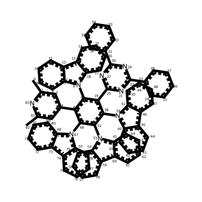 Cc1cc(-c2c(-n3c4ccccc4c4ccccc43)c(-c3nc(-c4ccccc4)nc(-c4ccccc4)n3)c(-n3c4ccccc4c4ccccc43)c(-n3c4ccccc4c4ccccc43)c2-n2c3ccccc3c3ccccc32)cc(C)n1